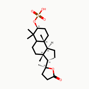 CC1(C)C2CC[C@]3(C)[C@H](CC[C@@H]3[C@]3(C)CCC(=O)O3)[C@@]2(C)CC[C@@H]1OS(=O)(=O)O